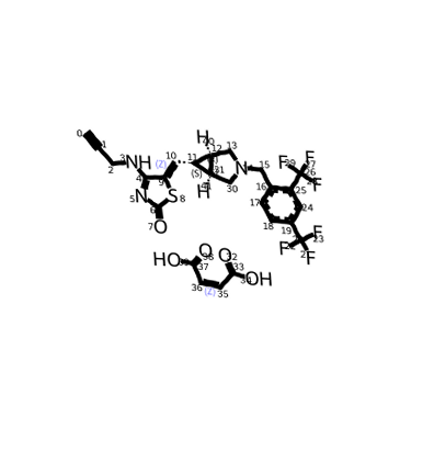 C#CCNC1=NC(=O)S/C1=C\[C@@H]1[C@H]2CN(Cc3ccc(C(F)(F)F)cc3C(F)(F)F)C[C@@H]12.O=C(O)/C=C\C(=O)O